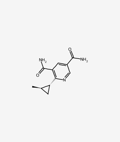 C[C@@H]1C[C@H]1c1ncc(C(N)=O)cc1C(N)=O